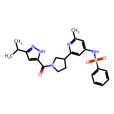 Cc1cc(NS(=O)(=O)c2ccccc2)cc(C2CCN(C(=O)c3cc(C(C)C)n[nH]3)C2)n1